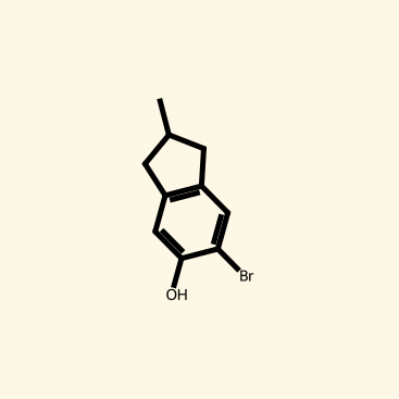 CC1Cc2cc(O)c(Br)cc2C1